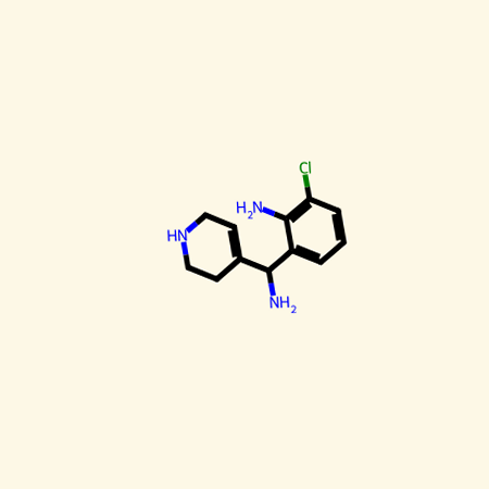 Nc1c(Cl)cccc1C(N)C1=CCNCC1